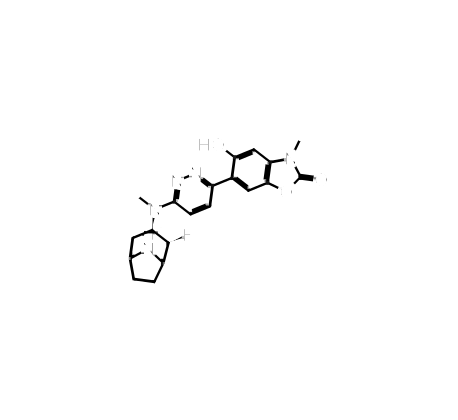 CN(c1ccc(-c2cc3oc(=O)n(C)c3cc2O)nn1)[C@@H]1CC2CCC(N2)[C@@H]1F